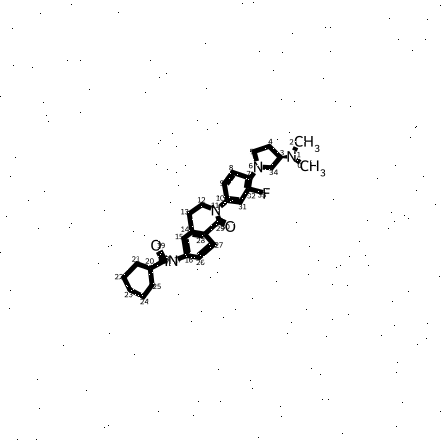 CN(C)[C@@H]1CCN(c2ccc(N3CCc4cc(NC(=O)C5CCCCC5)ccc4C3=O)cc2F)C1